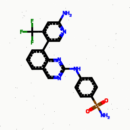 Nc1cc(C(F)(F)F)c(-c2cccc3cnc(Nc4ccc(S(N)(=O)=O)cc4)nc23)cn1